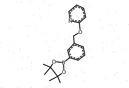 CC1(C)OB(c2cccc(COc3ccccn3)c2)OC1(C)C